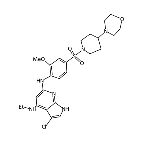 CCNc1cc(Nc2ccc(S(=O)(=O)N3CCC(N4CCOCC4)CC3)cc2OC)nc2[nH]cc(Cl)c12